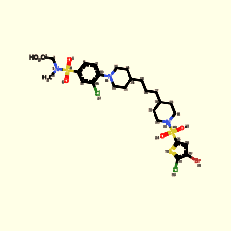 CN(CC(=O)O)S(=O)(=O)c1ccc(N2CCC(CCCC3CCN(S(=O)(=O)c4cc(Br)c(Cl)s4)CC3)CC2)c(Cl)c1